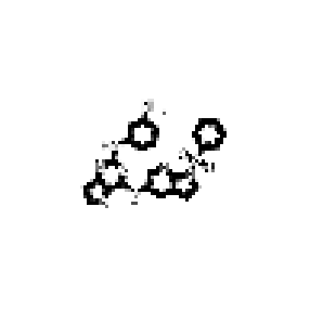 Nc1cccc(Nc2nc(Nc3cnc4c(ccn4S(=O)(=O)c4ccccc4)c3)c3sccc3n2)c1